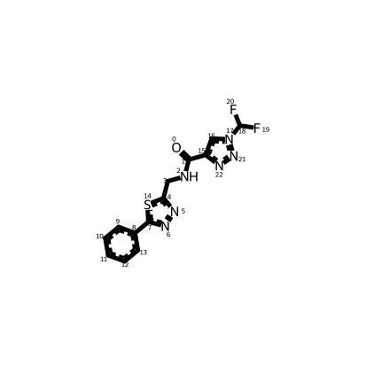 O=C(NCc1nnc(-c2ccccc2)s1)c1cn(C(F)F)nn1